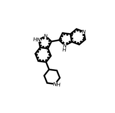 c1cc2[nH]c(-c3n[nH]c4ccc(C5CCNCC5)cc34)cc2cn1